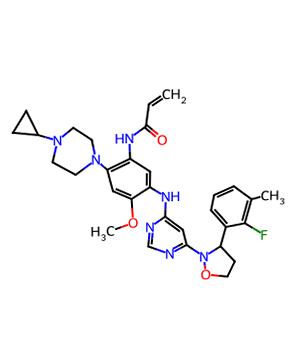 C=CC(=O)Nc1cc(Nc2cc(N3OCCC3c3cccc(C)c3F)ncn2)c(OC)cc1N1CCN(C2CC2)CC1